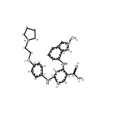 Cn1cc2cccc(Nc3nc(Nc4ccc(OCCN5CCCC5)cc4)ncc3C(N)=O)c2n1